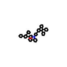 c1ccc(-c2ccc(-c3ccc(N(c4ccc(-c5ccc6c(c5)c(-c5ccccc5)c(-c5ccccc5)c5ccccc56)cc4)c4ccccc4-c4ccccc4)cc3)c(-c3ccccc3)c2)cc1